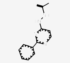 CC(=O)NNc1ccnc(-c2ccccc2)n1